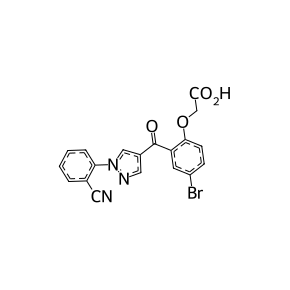 N#Cc1ccccc1-n1cc(C(=O)c2cc(Br)ccc2OCC(=O)O)cn1